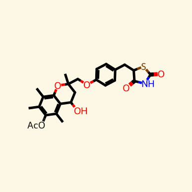 CC(=O)Oc1c(C)c(C)c2c(c1C)C(O)CC(C)(COc1ccc(CC3SC(=O)NC3=O)cc1)O2